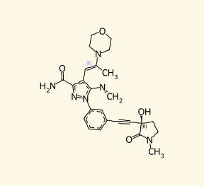 C=Nc1c(/C=C(\C)N2CCOCC2)c(C(N)=O)nn1-c1cccc(C#C[C@]2(O)CCN(C)C2=O)c1